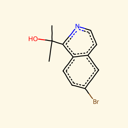 CC(C)(O)c1nccc2cc(Br)ccc12